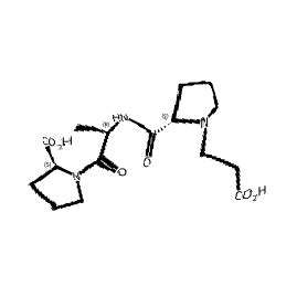 C[C@@H](NC(=O)[C@@H]1CCCN1CCC(=O)O)C(=O)N1CCC[C@H]1C(=O)O